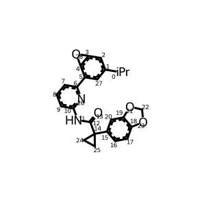 CC(C)c1cc2c(c(-c3cccc(NC(=O)C4(c5ccc6c(c5)OCO6)CC4)n3)c1)O2